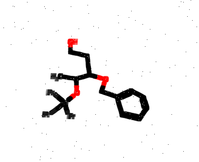 CC(O[Si](C(C)C)(C(C)C)C(C)C)C(CCO)OCc1ccccc1